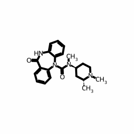 C[C@@H]1C[C@@H](N(C)C(=O)N2c3ccccc3NC(=O)c3ccccc32)CCN1C